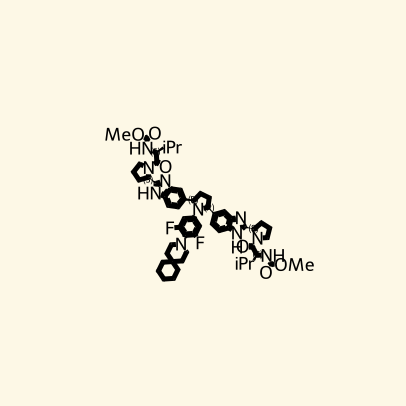 COC(=O)N[C@H](C(=O)N1CCC[C@H]1c1nc2cc([C@H]3CC[C@H](c4ccc5[nH]c([C@@H]6CCCN6C(=O)[C@@H](NC(=O)OC)C(C)C)nc5c4)N3c3cc(F)c(N4CCC5(CCCCC5)CC4)c(F)c3)ccc2[nH]1)C(C)C